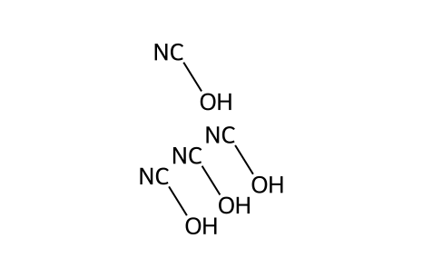 N#CO.N#CO.N#CO.N#CO